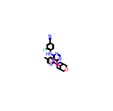 COc1c(Nc2ccc(C#N)cc2F)ncnc1OC1C2COCC1CN(c1ncc(C)cn1)C2